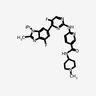 Cc1nc2c(F)cc(-c3nc(Nc4ccc(C(=O)NC5CCN(C)CC5)cn4)ncc3F)cc2n1C(C)C